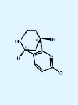 Clc1ccc2c(n1)[C@H]1CCN[C@@H]2C1